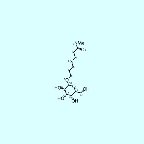 CNC(=O)CCSCCCO[C@H]1OC(CO)[C@H](O)[C@H](O)C1O